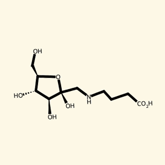 O=C(O)CCCNC[C@@]1(O)O[C@H](CO)[C@@H](O)[C@@H]1O